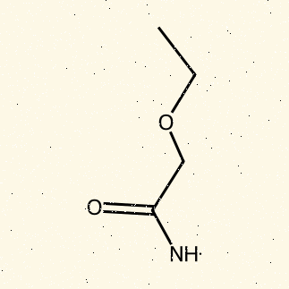 CCOCC([NH])=O